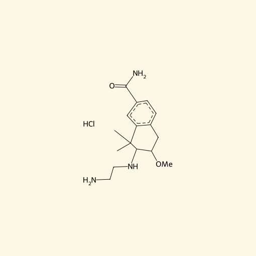 COC1Cc2ccc(C(N)=O)cc2C(C)(C)C1NCCN.Cl